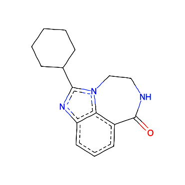 O=C1NCCn2c(C3CCCCC3)nc3cccc1c32